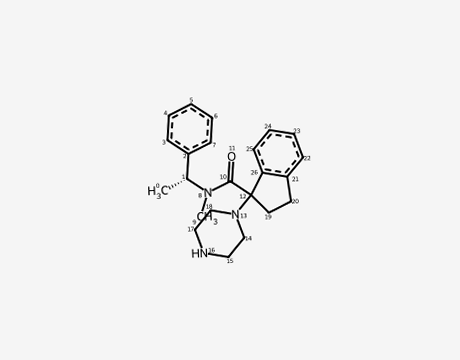 C[C@H](c1ccccc1)N(C)C(=O)C1(N2CCNCC2)CCc2ccccc21